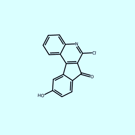 O=C1c2ccc(O)cc2-c2c1c(Cl)nc1ccccc21